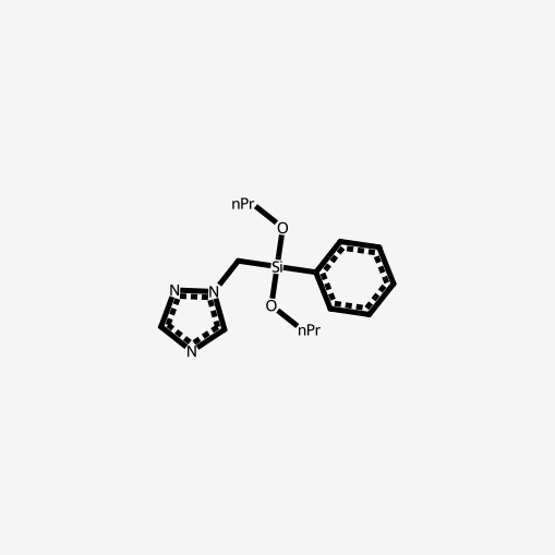 CCCO[Si](Cn1cncn1)(OCCC)c1ccccc1